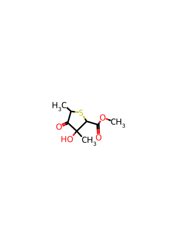 COC(=O)C1SC(C)C(=O)C1(C)O